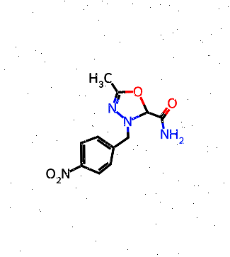 CC1=NN(Cc2ccc([N+](=O)[O-])cc2)C(C(N)=O)O1